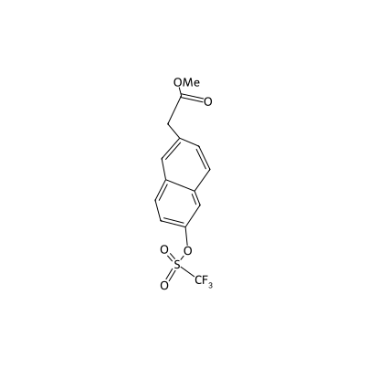 COC(=O)Cc1ccc2cc(OS(=O)(=O)C(F)(F)F)ccc2c1